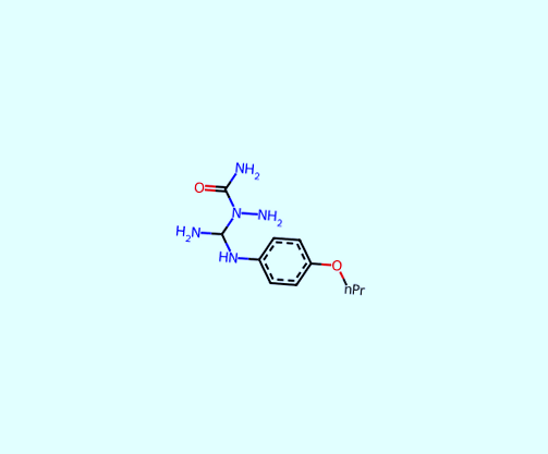 CCCOc1ccc(NC(N)N(N)C(N)=O)cc1